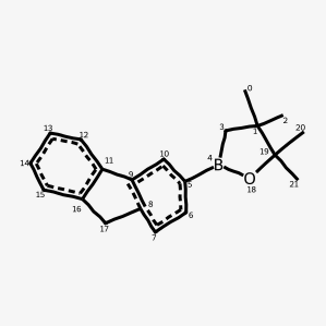 CC1(C)CB(c2ccc3c(c2)-c2ccccc2C3)OC1(C)C